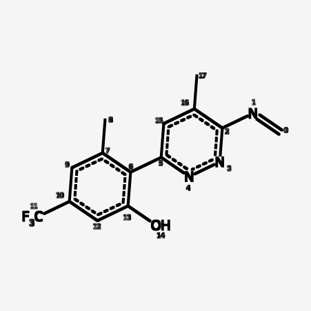 C=Nc1nnc(-c2c(C)cc(C(F)(F)F)cc2O)cc1C